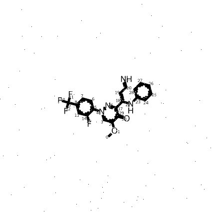 COc1cn(-c2ccc(C(F)(F)F)cc2F)nc(/C(=C/C=N)Nc2ccccc2)c1=O